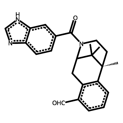 CC1(C)C2Cc3c(C=O)cccc3[C@]1(C)CCN2C(=O)c1ccc2nc[nH]c2c1